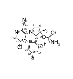 C[C@]1(OC(N)=O)CCN(c2c(C#N)ncc(Cl)c2-c2cc(F)cc(F)c2)C1